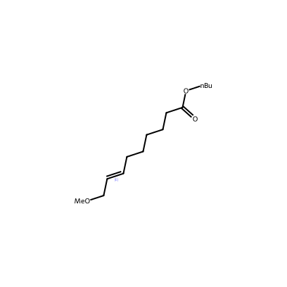 CCCCOC(=O)CCCCC/C=C/COC